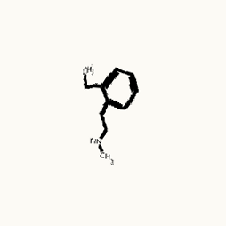 CCc1ccccc1CCNC